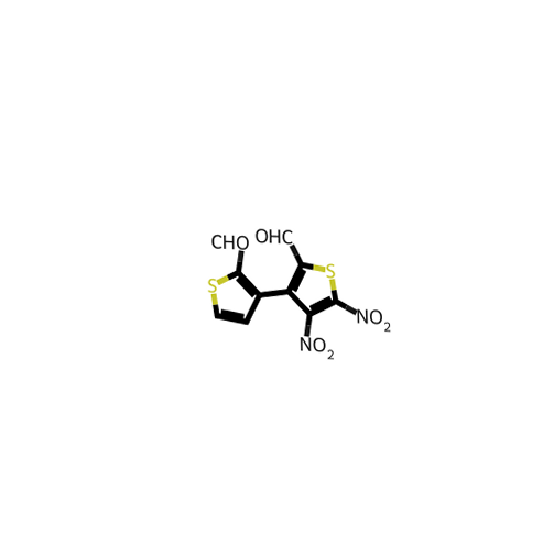 O=Cc1sccc1-c1c(C=O)sc([N+](=O)[O-])c1[N+](=O)[O-]